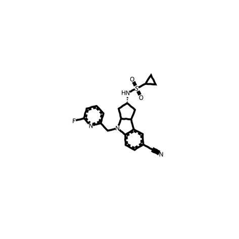 N#Cc1ccc2c(c1)C1C[C@@H](NS(=O)(=O)C3CC3)CC1N2Cc1cccc(F)n1